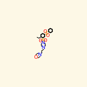 CCc1ccc(S(=O)(=O)c2ccccc2)cc1S(=O)(=O)N1CCN(CCCN2CCOCC2)CC1